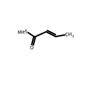 C/C=C/C(=O)SC